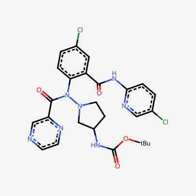 CC(C)(C)OC(=O)NC1CCN(N(C(=O)c2cnccn2)c2ccc(Cl)cc2C(=O)Nc2ccc(Cl)cn2)C1